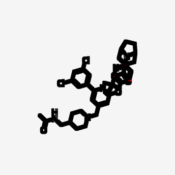 CC(=O)NCC1CCN(Cc2cc(Oc3ccc(N4C5CCC4CN(C(=O)OC(C)(C)C)C5)nc3)nc(-c3cc(Cl)cc(Cl)c3)c2)CC1